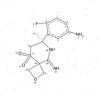 C[C@@]1(c2cc(N)ccc2F)CS(=O)(=O)C2(COC2)C(=N)N1